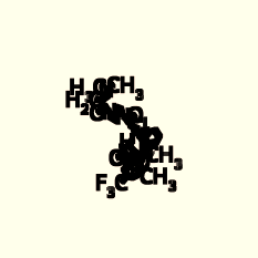 C=C(CN(C)C)C(=O)N1CCN(C(=O)CCN2C[C@H]3CC(=O)N(c4cc(C(F)(F)F)cc(C)n4)[C@@H]3C(=O)N(C)c3cccc(Cl)c32)CC1